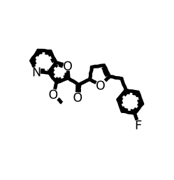 COc1c(C(=O)C2CC=C(Cc3ccc(F)cc3)O2)oc2cccnc12